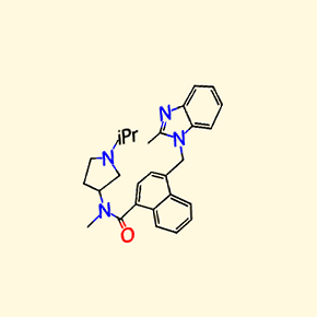 Cc1nc2ccccc2n1Cc1ccc(C(=O)N(C)C2CCN(C(C)C)C2)c2ccccc12